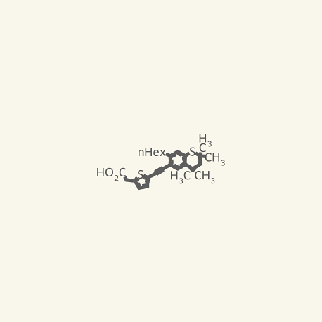 CCCCCCc1cc2c(cc1C#Cc1ccc(CC(=O)O)s1)C(C)(C)CC(C)(C)S2